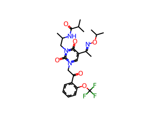 CC(=NOC(C)C)c1cn(CC(=O)c2ccccc2OC(F)(F)F)c(=O)n(CC(C)NC(=O)C(C)C)c1=O